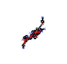 CCC(Cc1ccc2c(c1)CCNC2(CC1CCCC(c2ccc3c(c2)CCNC3(CCC(C)c2ccc3c(c2)CCNC3(C(CC)CC)C2CCN(CCCOc3ccc(C#N)cc3)CC2)C2CCN(CCCOc3ccc(C#N)cc3)CC2)C1)C1CCN(CCCOc2ccc(C#N)cc2)CC1)CC1(C2CCN(CCCOc3ccc(C#N)cc3)CC2)NCCc2ccccc21